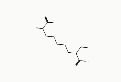 CC(CCCCC[C@@H](CF)C(=O)O)C(=O)O